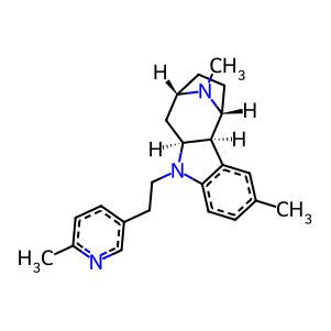 Cc1ccc2c(c1)[C@@H]1[C@H]3CC[C@@H](C[C@@H]1N2CCc1ccc(C)nc1)N3C